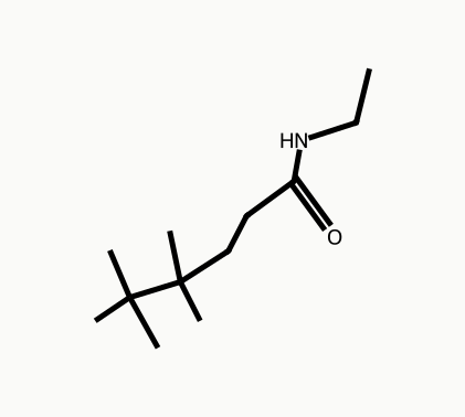 CCNC(=O)CCC(C)(C)C(C)(C)C